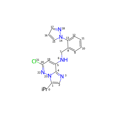 CC(C)c1cnc2c(NCc3ccccc3-n3cccn3)cc(Cl)nn12